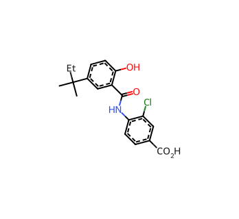 CCC(C)(C)c1ccc(O)c(C(=O)Nc2ccc(C(=O)O)cc2Cl)c1